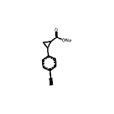 C#Cc1ccc(C2CC2C(=O)OC)cc1